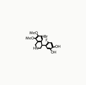 Br.COc1ccc2c(c1OC)CNCC2c1cc(O)c(O)cc1F